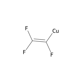 FC(F)=[C](F)[Cu]